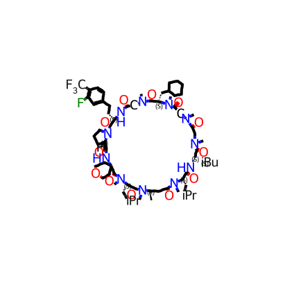 CC[C@H](C)[C@@H]1NC(=O)[C@H](CC(C)C)N(C)C(=O)C[C@@H](C)N(C)C(=O)[C@H](CC(C)C)N(C)C(=O)C2(CCOCC2)NC(=O)[C@@H]2CCCN2C(=O)[C@H](CCc2ccc(C(F)(F)F)c(F)c2)NC(=O)CN(C)C(=O)[C@H](CC2CCCCC2)N(C)C(=O)CN(C)C(=O)CN(C)C1=O